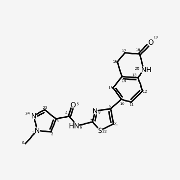 Cn1cc(C(=O)Nc2nc(-c3ccc4c(c3)CCC(=O)N4)cs2)cn1